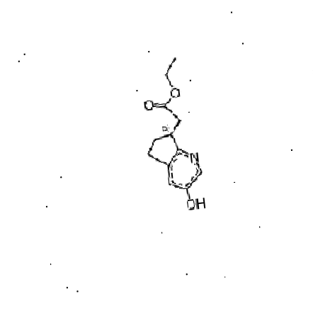 CCOC(=O)C[C@@H]1CCc2cc(O)cnc21